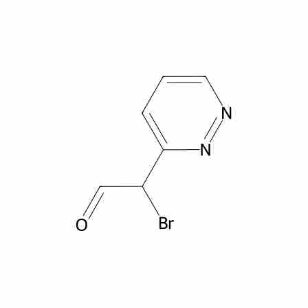 O=CC(Br)c1cccnn1